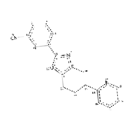 [C-]#[N+]c1cccc(-c2nc3c(o2)CCC(c2ccccn2)C3)c1